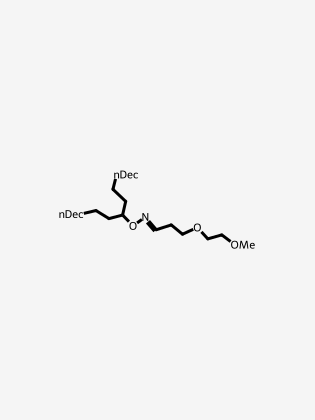 CCCCCCCCCCCCC(CCCCCCCCCCCC)O/N=C/CCOCCOC